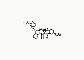 COc1ccc(C(C)(C)C)cc1NC(=O)Nc1ccc(Oc2ccnc(C)n2)c2ccccc12